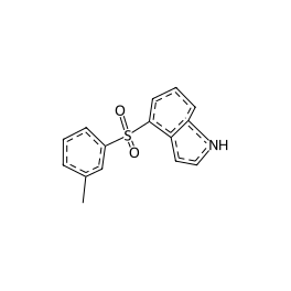 Cc1cccc(S(=O)(=O)c2cccc3[nH]ccc23)c1